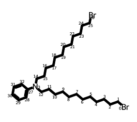 BrCCCCCCCCCCCCN(CCCCCCCCCCCCBr)c1ccccc1